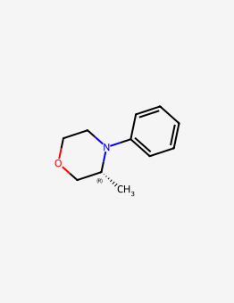 C[C@@H]1COCCN1c1ccccc1